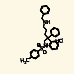 Cc1ccc(S(=O)(=O)NCC(CCCNCc2ccccc2)(c2ccccc2)c2ccccc2)cc1.Cl